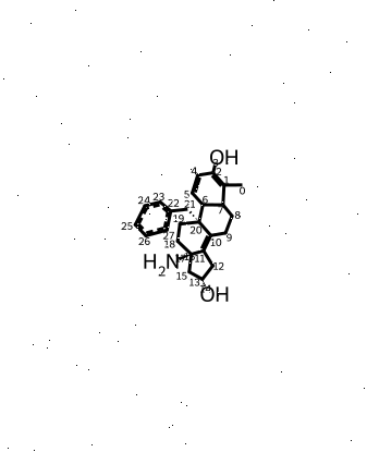 CC1=C(O)C=CC2C1CCC1=C3C[C@H](O)C[C@]3(N)CC[C@]12Cc1ccccc1